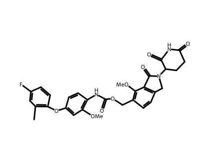 COc1cc(Oc2ccc(F)cc2C)ccc1NC(=O)OCc1ccc2c(c1OC)C(=O)N(C1CCC(=O)NC1=O)C2